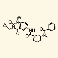 CC(C)n1c(=O)n(CC2CC2)c(=O)c2cc(NC(=O)N3CCCC(N(C)C(=O)c4ccccc4)C3)ccc21